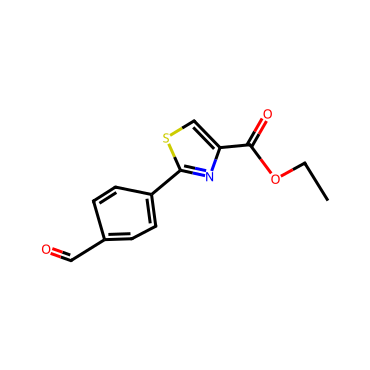 CCOC(=O)c1csc(-c2ccc(C=O)cc2)n1